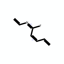 C=C/C=C\C(F)=N/C=C